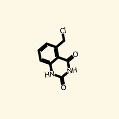 O=c1[nH]c(=O)c2c(CCl)cccc2[nH]1